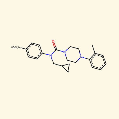 COc1ccc(N(CC2CC2)C(=O)N2CCN(c3ccccc3C)CC2)cc1